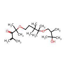 C=C(C)C(=O)C(C)(C)OCCC(C)(C)C(C)(C)OCC(C)C(C)(C)O